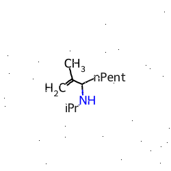 C=C(C)C(CCCCC)NC(C)C